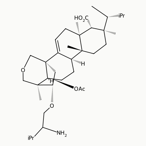 CC(=O)O[C@@H]1C[C@@]23COC[C@@](C)([C@@H]2CC[C@H]2C3=CC[C@@]3(C)[C@H](C(=O)O)[C@@](C)([C@H](C)C(C)C)CC[C@]23C)[C@H]1OCC(N)C(C)C